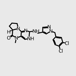 CN1C(=O)[C@@H]2CCCN2C2=NC(NCc3cnn(Cc4ccc(Cl)c(Cl)c4)c3)NC=C21